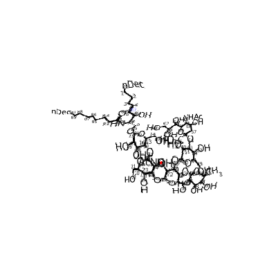 CCCCCCCCCCCCC/C=C/[C@@H](O)[C@H](CO[C@@H]1OC(CO)[C@@H](O[C@@H]2OC(CO)[C@H](O)[C@H](O[C@@H]3OC(CO)[C@@H](O[C@H]4OC(C)[C@@H](O)C(O)[C@@H]4O)[C@H](O[C@@H]4OC(CO)[C@H](O)[C@H](O[C@]5(C(=O)O)CC(O)[C@@H](NC(C)=O)C([C@H](O)[C@H](O)CO)O5)C4O)C3NC(C)=O)C2O)[C@H](O)C1O)NC(=O)CCCCCCCCCCCCCCCCC